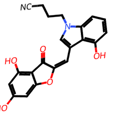 N#CCCCn1cc(/C=C2/Oc3cc(O)cc(O)c3C2=O)c2c(O)cccc21